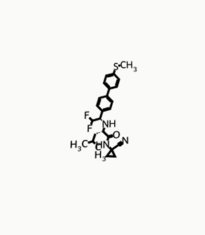 CSc1ccc(-c2ccc([C@H](N[C@@H](CC(C)C)C(=O)NC3(C#N)CC3)C(F)F)cc2)cc1